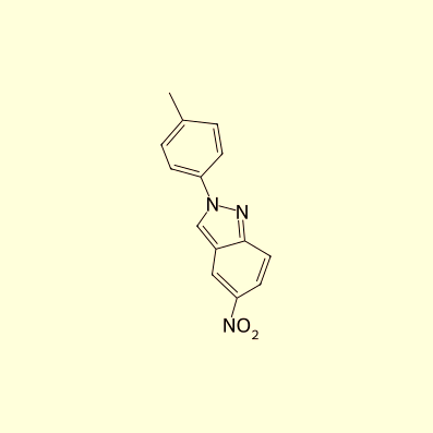 Cc1ccc(-n2cc3cc([N+](=O)[O-])ccc3n2)cc1